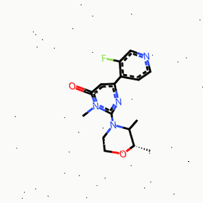 CC1[C@H](C)OCCN1c1nc(-c2ccncc2F)cc(=O)n1C